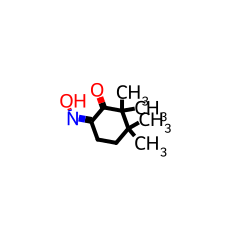 CC1(C)CCC(=NO)C(=O)C1(C)C